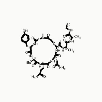 CC[C@H](C)[C@@H]1NC(=O)[C@H](Cc2ccc(O)cc2)NC(=O)CNC(=O)CC[C@@H](C(=O)N[C@@H](C)C(=O)N[C@@H](C)C(=O)NCC(C)=O)NC(=O)[C@H](CC(N)=O)NC(=O)[C@H](CCC(N)=O)NC1=O